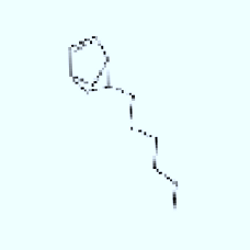 [CH2]CCCCCC1CC2C=CC1C2